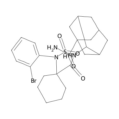 NC(=O)C12CC3CC(C1)C(NC(=O)C1(N(c4ccccc4Br)[SH](=O)=O)CCCCC1)C(C3)C2